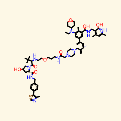 C=C(/C=C\C(=C)c1cc(C(O)NCC2=C(C)C=C(C)NC2O)c(C)c(N(CC)C2CCOCC2)c1)CN1CCN(CC(=O)NCCCOCCNC(C(=O)N2C[C@H](O)C[C@H]2C(=O)NCc2ccc(-c3scnc3C)cc2)C(C)(C)C)CC1